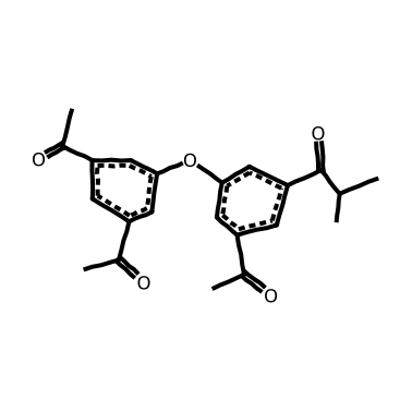 CC(=O)c1cc(Oc2cc(C(C)=O)cc(C(=O)C(C)C)c2)cc(C(C)=O)c1